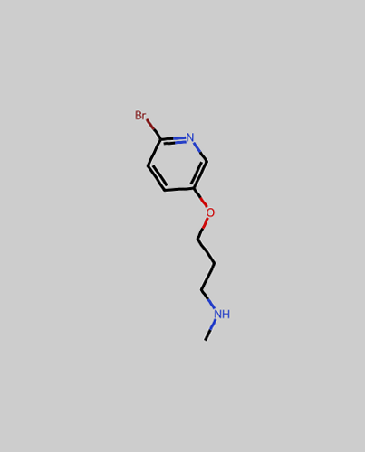 CNCCCOc1ccc(Br)nc1